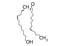 C/C=C/C/C=C\CCCCCCCCO.CCCC/C=C\CCCCCCCC=O